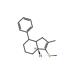 CSC1=C(C)CC2C(c3ccccc3)CCC[C@@H]12